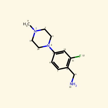 CN1CCN(c2ccc(CN)c(F)c2)CC1